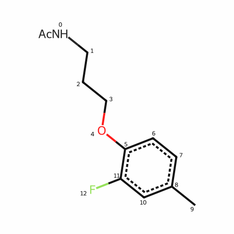 CC(=O)NCCCOc1ccc(C)cc1F